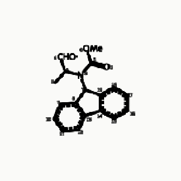 COC(=O)N(C(C)[C]=O)C1c2ccccc2-c2ccccc21